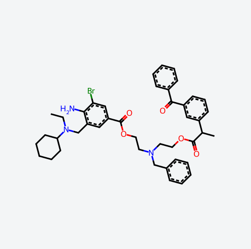 CCN(Cc1cc(C(=O)OCCN(CCOC(=O)C(C)c2cccc(C(=O)c3ccccc3)c2)Cc2ccccc2)cc(Br)c1N)C1CCCCC1